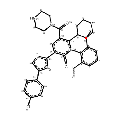 CCc1cccc(CC)c1-n1c(C2CCOCC2)c(C(=O)N2CCNCC2)cc(-c2nc(-c3ccc(Cl)cc3)cs2)c1=O